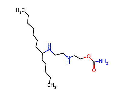 CCCCCCCC(CCCCC)NCCNCCOC(N)=O